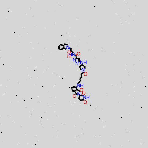 O=C1CCC(N2C(=O)c3cccc(NCCCCCC(=O)N4CCC(Nc5cc(C(=O)NC[C@H](O)CN6CCc7ccccc7C6)ncn5)CC4)c3C2=O)C(=O)N1